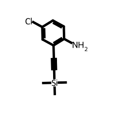 C[Si](C)(C)C#Cc1cc(Cl)ccc1N